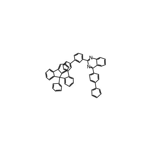 c1ccc(-c2ccc(-c3nc(-c4cccc(-c5cccc(-c6ccccc6C6(c7ccccc7)c7ccccc7-c7ccccc76)c5)c4)nc4ccccc34)cc2)cc1